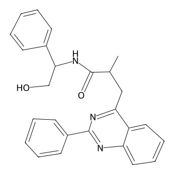 CC(Cc1nc(-c2ccccc2)nc2ccccc12)C(=O)NC(CO)c1ccccc1